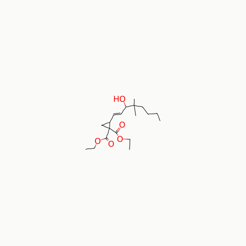 CCCCC(C)(C)C(O)C=CC1CC1(C(=O)OCC)C(=O)OCC